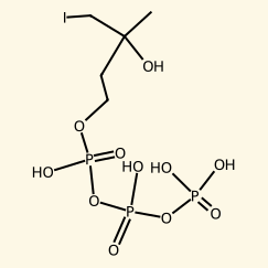 CC(O)(CI)CCOP(=O)(O)OP(=O)(O)OP(=O)(O)O